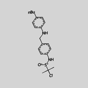 CCCCc1ccc(NCc2ccc(N[S+]([O-])C(C)(C)Cl)cc2)cc1